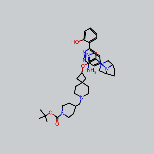 CC(C)(C)OC(=O)N1CCC(CN2CCC3(CC2)CC(Oc2cc(N4C5CCC4CN(c4cc(-c6ccccc6O)nnc4N)C5)ccn2)C3)CC1